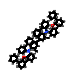 Cc1cc(-c2ccc(N(c3ccccc3-c3ccccc3)c3cccc4c3oc3c(-c5ccccc5)cccc34)c(C)c2)ccc1N(c1ccccc1-c1ccccc1)c1cccc2c1oc1c(-c3ccccc3)cccc12